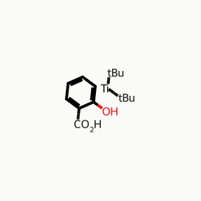 C[C](C)(C)[Ti][C](C)(C)C.O=C(O)c1ccccc1O